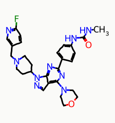 CNC(=O)Nc1ccc(-c2nc(N3CCOCC3)c3cnn(C4CCN(Cc5ccc(F)nc5)CC4)c3n2)cc1